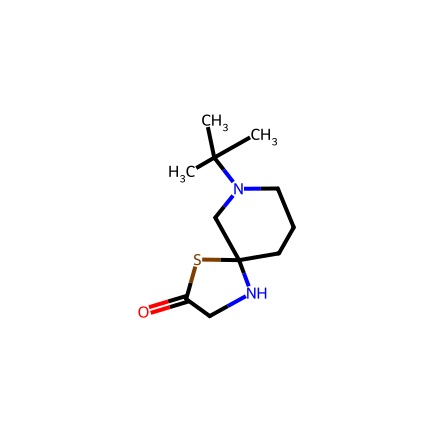 CC(C)(C)N1CCCC2(C1)NCC(=O)S2